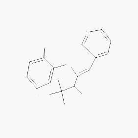 CCCCC(C)(C)C(O)C(=Cc1cccnc1)Oc1ccccc1I